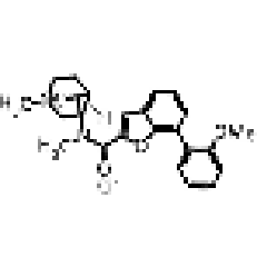 COc1ccccc1-c1cccc2cc(C(=O)N(C)[C@H]3C[N+]4(C)CCC3CC4)oc12.[Cl-]